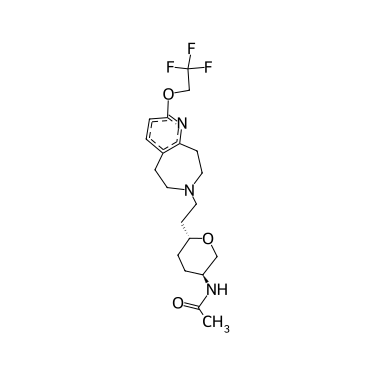 CC(=O)N[C@H]1CC[C@H](CCN2CCc3ccc(OCC(F)(F)F)nc3CC2)OC1